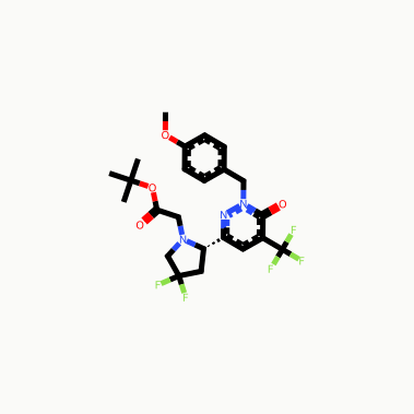 COc1ccc(Cn2nc([C@@H]3CC(F)(F)CN3CC(=O)OC(C)(C)C)cc(C(F)(F)F)c2=O)cc1